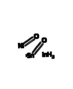 [InH3].[O]=[Ni].[O]=[Sn]